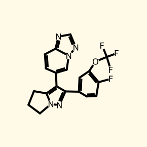 Fc1ccc(-c2nn3c(c2-c2ccc4ncnn4c2)CCC3)cc1OC(F)(F)F